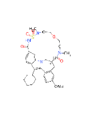 COc1ccc2c(c1)C[C@H]1Cn3c-2c(C2CCCCC2)c2ccc(cc23)C(=O)NS(=O)(=O)N(C)CCOCCN(C)C1=O